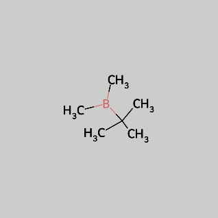 CB(C)C(C)(C)C